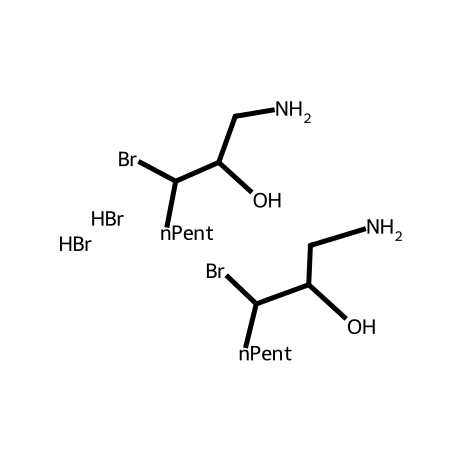 Br.Br.CCCCCC(Br)C(O)CN.CCCCCC(Br)C(O)CN